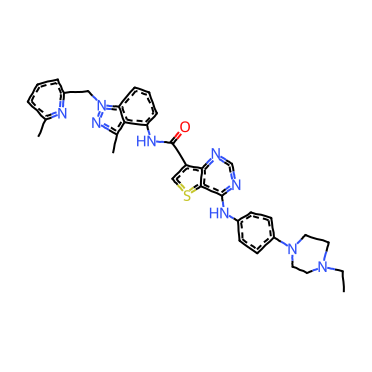 CCN1CCN(c2ccc(Nc3ncnc4c(C(=O)Nc5cccc6c5c(C)nn6Cc5cccc(C)n5)csc34)cc2)CC1